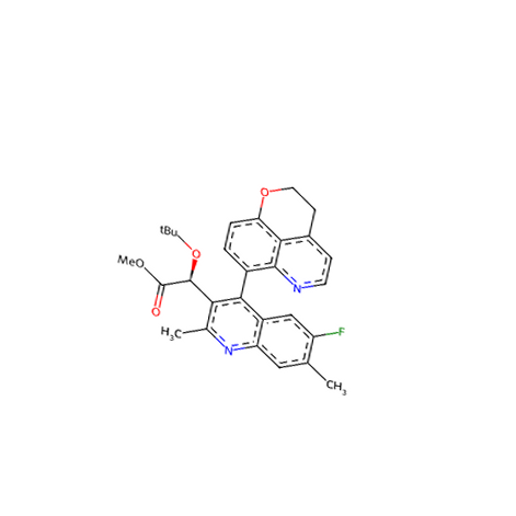 COC(=O)[C@@H](OC(C)(C)C)c1c(C)nc2cc(C)c(F)cc2c1-c1ccc2c3c(ccnc13)CCO2